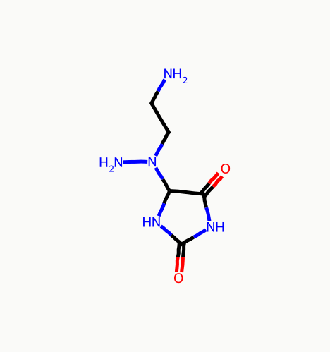 NCCN(N)C1NC(=O)NC1=O